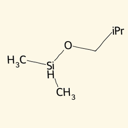 CC(C)CO[SiH](C)C